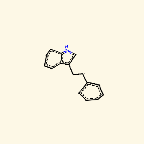 [CH](Cc1c[nH]c2ccccc12)c1ccccc1